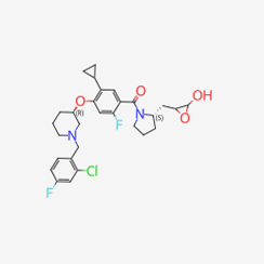 O=C(c1cc(C2CC2)c(O[C@@H]2CCCN(Cc3ccc(F)cc3Cl)C2)cc1F)N1CCC[C@H]1CC1OC1O